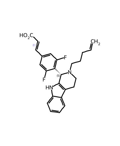 C=CCCCN1CCc2c([nH]c3ccccc23)[C@@H]1c1c(F)cc(/C=C/C(=O)O)cc1F